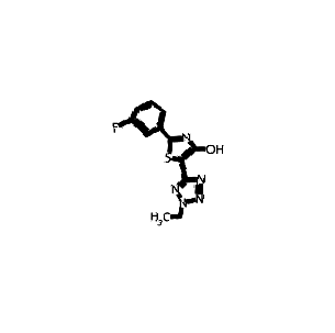 CCn1nnc(-c2sc(-c3cccc(F)c3)nc2O)n1